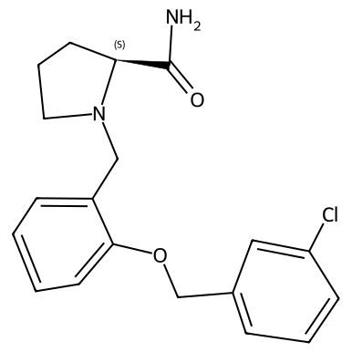 NC(=O)[C@@H]1CCCN1Cc1ccccc1OCc1cccc(Cl)c1